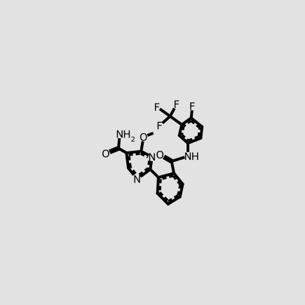 COc1nc(-c2ccccc2C(=O)Nc2ccc(F)c(C(F)(F)F)c2)ncc1C(N)=O